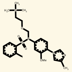 COc1cc(N(COCC[Si](C)(C)C)S(=O)(=O)c2ccccc2I)ccc1-n1cnc(C)c1